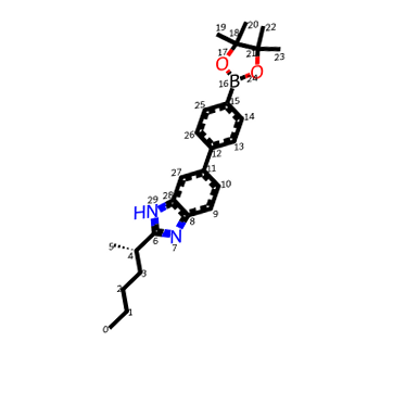 CCCC[C@H](C)c1nc2ccc(-c3ccc(B4OC(C)(C)C(C)(C)O4)cc3)cc2[nH]1